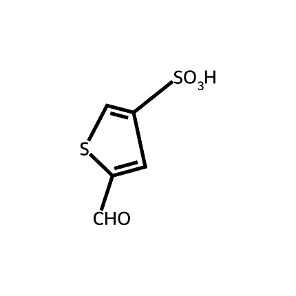 O=Cc1cc(S(=O)(=O)O)cs1